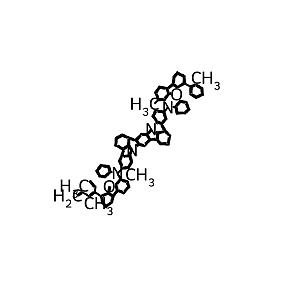 C=C/C(C)=C(\C=C/C)c1cccc2c1oc1c(N(c3ccccc3)c3ccc4c(c3)c3cccc5c6cc7c(cc6n4c35)c3cccc4c5cc(N(c6ccccc6)c6c(C)ccc8c6oc6c(-c9ccccc9C)cccc68)ccc5n7c43)c(C)ccc12